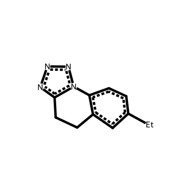 CCc1ccc2c(c1)CCc1nnnn1-2